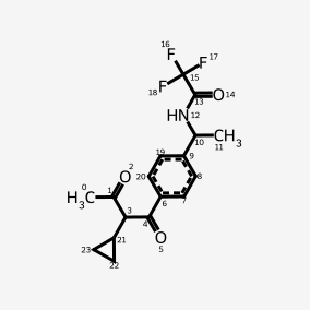 CC(=O)C(C(=O)c1ccc(C(C)NC(=O)C(F)(F)F)cc1)C1CC1